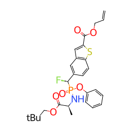 C=CCOC(=O)c1cc2cc([C@H](F)P(=O)(N[C@@H](C)C(=O)OCC(C)(C)C)Oc3ccccc3)ccc2s1